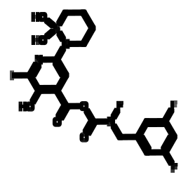 O=C(OC(=O)N(F)Cc1cc(F)cc(F)c1)c1cc(N2CCCCS2(O)O)nc(I)c1O